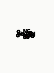 N#Cc1ccc2c3ccccc3n(-c3ccccc3-c3c(C#N)cccc3-n3c4ccccc4c4cc(-n5c6ccccc6c6ccccc65)ccc43)c2c1